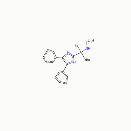 CCC(NC(=O)O)(c1nc(-c2ccccc2)c(-c2ccccc2)[nH]1)C(C)(C)C